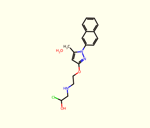 Cc1cc(OCCNCC(O)Cl)nn1-c1ccc2ccccc2c1.O